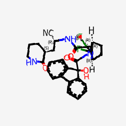 N#C[C@@H](C[C@@H]1CCCNC1=O)NC(=O)[C@H]1[C@H]2CC[C@H](CC2(F)F)N1C(=O)C1(O)c2ccccc2-c2ccccc21